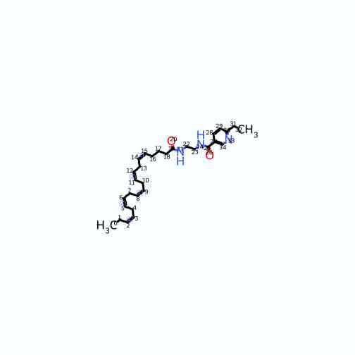 CC/C=C\C/C=C\C/C=C\C/C=C\C/C=C\CCCC(=O)NCCNC(=O)c1ccc(CC)nc1